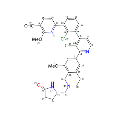 COc1cc(-c2nccc(-c3cccc(-c4ccc(C=O)c(OC)n4)c3Cl)c2Cl)cc2c1CN(C[C@@H]1CCC(=O)N1)CC2